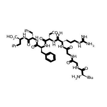 CC[C@H](C)[C@H](N)C(=O)NCC(=O)NCC(=O)N[C@@H](CCCNC(=N)N)C(=O)N[C@@H](CC(=O)O)C(=O)N[C@@H](Cc1ccccc1)C(=O)N[C@@H](CC(C)C)C(=O)N[C@@H](CC(C)C)C(=O)O